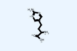 Nc1ncc(CCC(N)C(=O)O)cn1